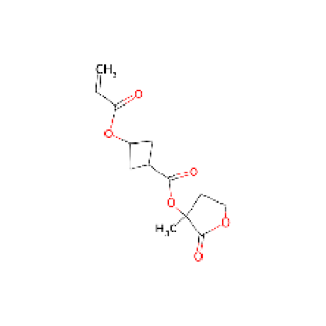 C=CC(=O)OC1CC(C(=O)OC2(C)CCOC2=O)C1